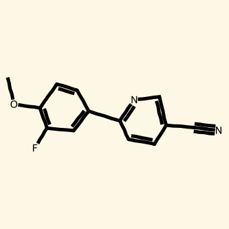 COc1ccc(-c2ccc(C#N)cn2)cc1F